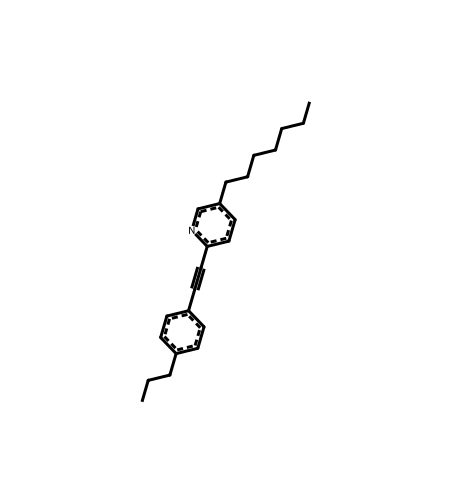 CCCCCCCc1ccc(C#Cc2ccc(CCC)cc2)nc1